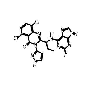 CCC(Nc1nc(F)nc2[nH]cnc12)c1nc2c(Cl)ccc(Cl)c2c(=O)n1-c1cc[nH]n1